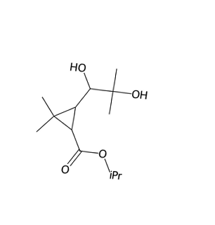 CC(C)OC(=O)C1C(C(O)C(C)(C)O)C1(C)C